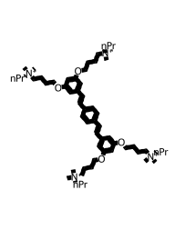 CCC[N+](C)(C)CCCCOc1cc(/C=C/c2ccc(/C=C/c3cc(OCCCC[N+](C)(C)CCC)cc(OCCCC[N+](C)(C)CCC)c3)cc2)cc(OCCCC[N+](C)(C)CCC)c1